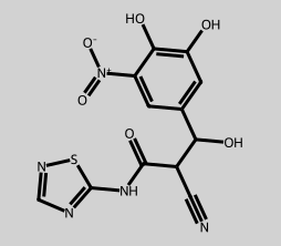 N#CC(C(=O)Nc1ncns1)C(O)c1cc(O)c(O)c([N+](=O)[O-])c1